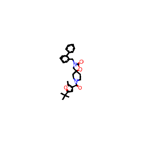 Cc1oc(C(C)(C)C)cc1C(=O)N1CCC2(CC1)CN(Cc1ccccc1-c1ccccc1)C(=O)O2